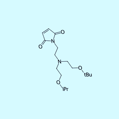 CC(C)OCCN(CCOC(C)(C)C)CCN1C(=O)C=CC1=O